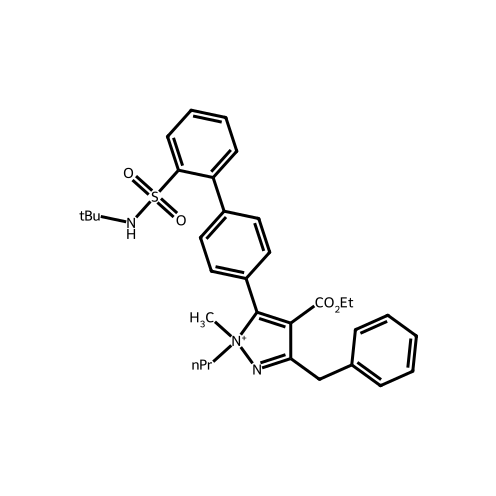 CCC[N+]1(C)N=C(Cc2ccccc2)C(C(=O)OCC)=C1c1ccc(-c2ccccc2S(=O)(=O)NC(C)(C)C)cc1